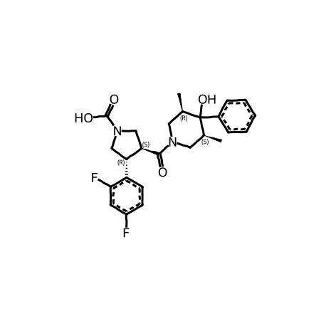 C[C@@H]1CN(C(=O)[C@@H]2CN(C(=O)O)C[C@H]2c2ccc(F)cc2F)C[C@H](C)C1(O)c1ccccc1